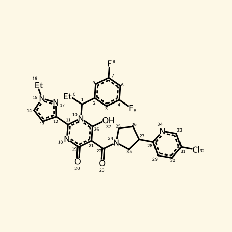 CCC(c1cc(F)cc(F)c1)n1c(-c2ccn(CC)n2)nc(=O)c(C(=O)N2CCC(c3ccc(Cl)cn3)C2)c1O